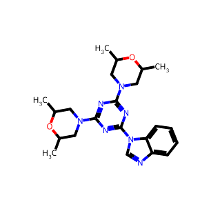 CC1CN(c2nc(N3CC(C)OC(C)C3)nc(-n3cnc4ccccc43)n2)CC(C)O1